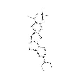 C=c1cc2c(cc1/C(C)=C\C(C)(C)C)=Nc1ccc3cc(N(CC)CC)ccc3c1O2